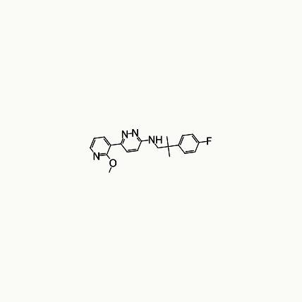 COc1ncccc1-c1ccc(NCC(C)(C)c2ccc(F)cc2)nn1